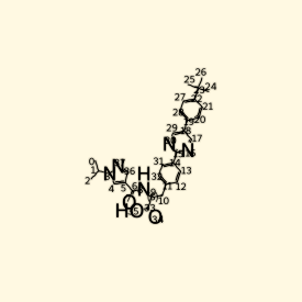 CC(C)n1cc(C(=O)N[C@@H](Cc2ccc(-c3ncc(-c4ccc(C(C)(C)C)cc4)cn3)cc2)C(=O)O)cn1